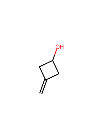 C=C1CC(O)C1